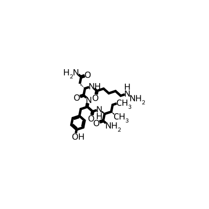 CC[C@H](C)[C@H](NC(=O)/C(Cc1ccc(O)cc1)=N/C(=O)[C@H](CC(N)=O)NC(=O)CCCCNN)C(N)=O